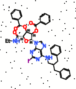 CCNC(=O)[C@H]1O[C@@H](n2cnc3c(NCC(Cc4ccccc4)Cc4ccccc4)nc(I)nc32)[C@H](OC(=O)c2ccccc2)[C@@H]1OC(=O)c1ccccc1